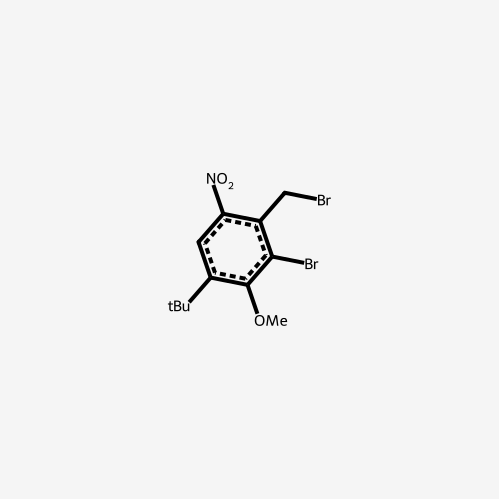 COc1c(C(C)(C)C)cc([N+](=O)[O-])c(CBr)c1Br